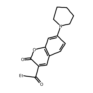 CCC(=O)c1cc2ccc(N3CCCCC3)cc2oc1=O